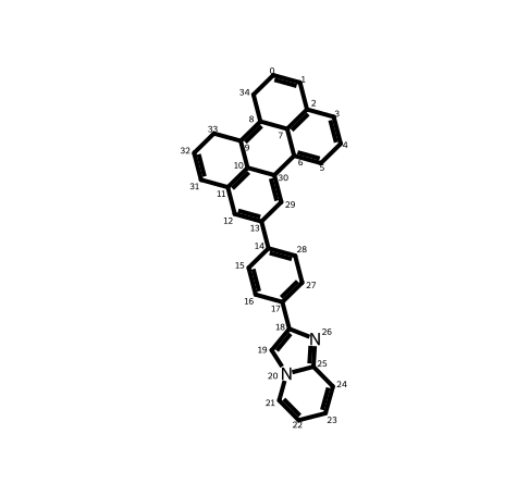 C1=Cc2cccc3c2c(c2c4c(cc(-c5ccc(-c6cn7ccccc7n6)cc5)cc43)C=CC2)C1